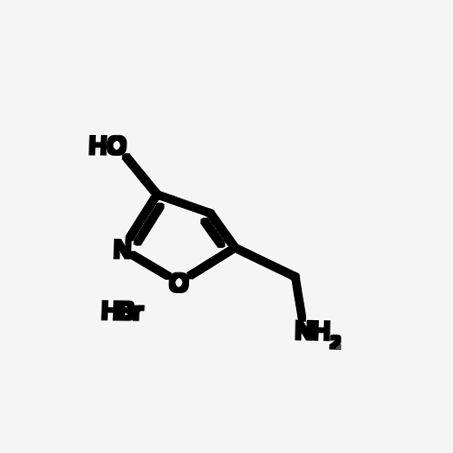 Br.NCc1cc(O)no1